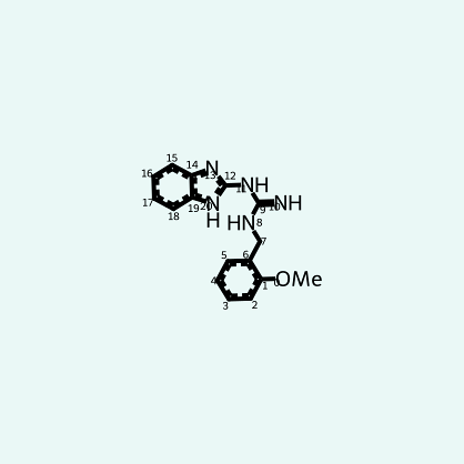 COc1ccccc1CNC(=N)Nc1nc2ccccc2[nH]1